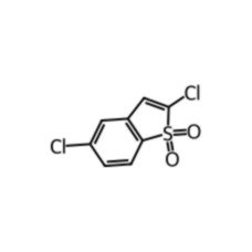 O=S1(=O)C(Cl)=Cc2cc(Cl)ccc21